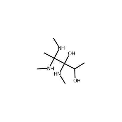 CNC(C)(NC)C(O)(NC)C(C)O